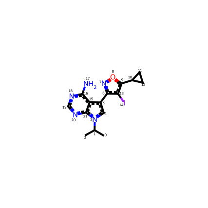 CC(C)n1cc(-c2noc(C3CC3)c2I)c2c(N)ncnc21